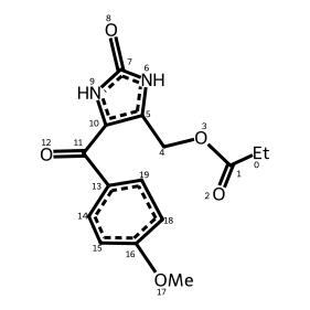 CCC(=O)OCc1[nH]c(=O)[nH]c1C(=O)c1ccc(OC)cc1